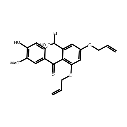 C=CCOc1cc(OCC=C)c(C(=O)c2ccc(O)c(OC)c2)c(C(CC)C(=O)O)c1